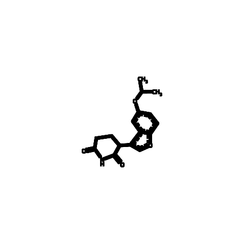 CC(C)Oc1ccc2occ(C3CCC(=O)NC3=O)c2c1